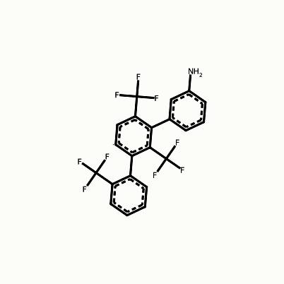 Nc1cccc(-c2c(C(F)(F)F)c[c]c(-c3ccccc3C(F)(F)F)c2C(F)(F)F)c1